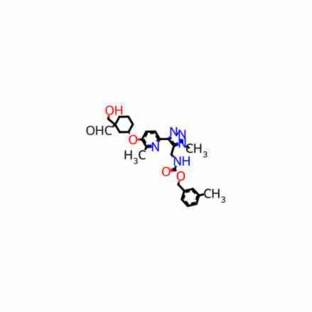 Cc1cccc(COC(=O)NCc2c(-c3ccc(O[C@H]4CCCC(C=O)(CO)C4)c(C)n3)nnn2C)c1